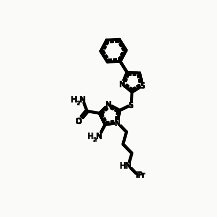 CC(C)NCCCn1c(Sc2nc(-c3ccccc3)cs2)nc(C(N)=O)c1N